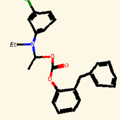 CCN(c1cccc(Cl)c1)C(C)OC(=O)Oc1ccccc1Cc1ccccc1